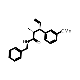 C=C[C@@H](c1cccc(OC)c1)[C@@H](C)C(=O)NCc1ccccc1